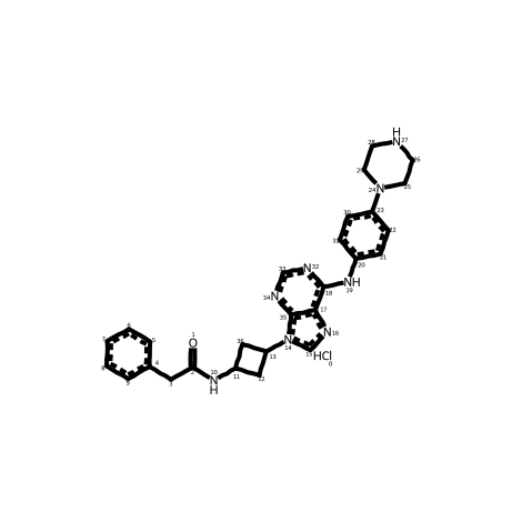 Cl.O=C(Cc1ccccc1)NC1CC(n2cnc3c(Nc4ccc(N5CCNCC5)cc4)ncnc32)C1